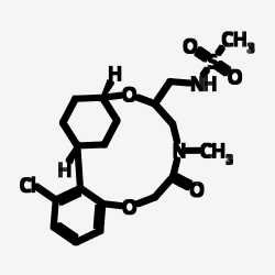 CN1CC(CNS(C)(=O)=O)O[C@H]2CC[C@H](CC2)c2c(Cl)cccc2OCC1=O